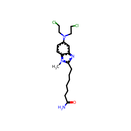 Cn1c(CCCCCCC(N)=O)nc2cc(N(CCCl)CCCl)ccc21